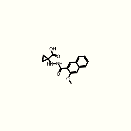 COc1cc2ccccc2cc1C(=O)NNC1(C(=O)O)CC1